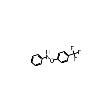 FC(F)(F)c1ccc(ONc2ccccc2)cc1